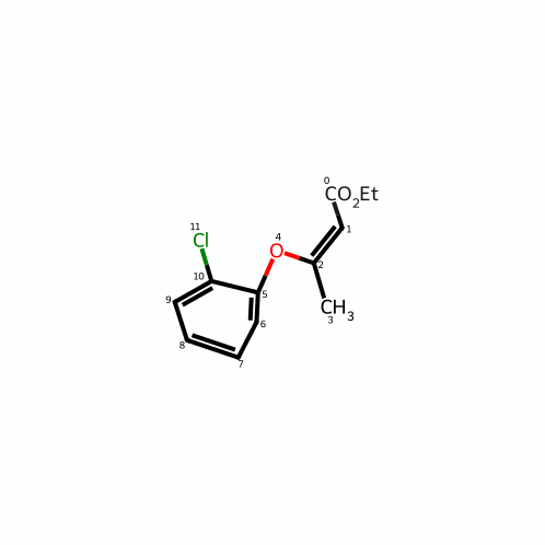 CCOC(=O)/C=C(/C)Oc1ccccc1Cl